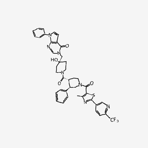 Cc1nc(-c2ccc(C(F)(F)F)nc2)sc1C(=O)N1CC[C@@H](C(=O)N2CCC(O)(Cn3cnc4c(ccn4-c4ccccc4)c3=O)CC2)[C@H](c2ccccc2)C1